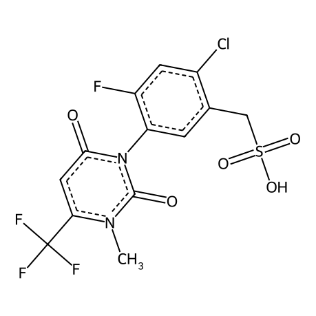 Cn1c(C(F)(F)F)cc(=O)n(-c2cc(CS(=O)(=O)O)c(Cl)cc2F)c1=O